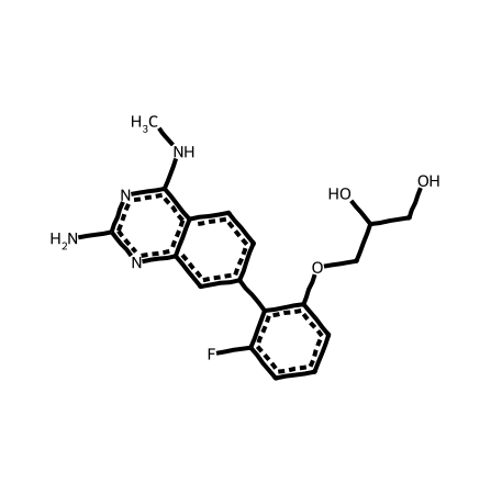 CNc1nc(N)nc2cc(-c3c(F)cccc3OCC(O)CO)ccc12